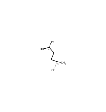 CC(C)[C@@H](C)CC[C@H](O)C(C)C